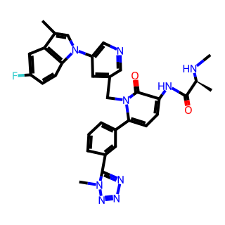 CN[C@@H](C)C(=O)Nc1ccc(-c2cccc(-c3nnnn3C)c2)n(Cc2cncc(-n3cc(C)c4cc(F)ccc43)c2)c1=O